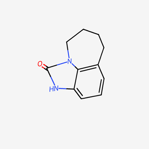 O=c1[nH]c2cccc3c2n1CCCC3